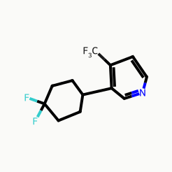 FC1(F)CCC(c2cnccc2C(F)(F)F)CC1